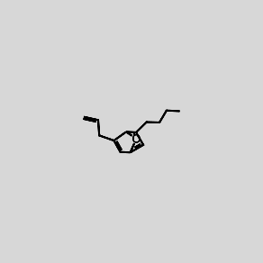 C=CCc1cc2cc(CCCC)c1o2